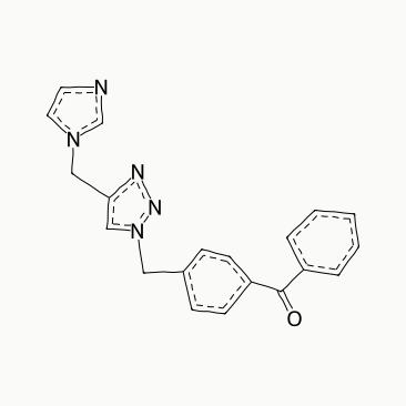 O=C(c1ccccc1)c1ccc(Cn2cc(Cn3ccnc3)nn2)cc1